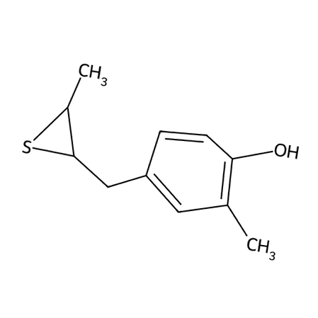 Cc1cc(CC2SC2C)ccc1O